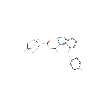 CC(CC(=O)N1C2CC3CC(O)(C2)CC31)c1c[nH]c2cccc(Oc3ccc(Cl)cc3)c12